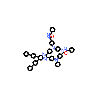 c1ccc(-c2ccc(-c3cc4nc(-c5ccc(N(c6ccccc6)c6ccc(-c7nnc(-c8ccccc8)o7)cc6)cc5)c(-c5ccc(N(c6ccccc6)c6ccc(-c7nnc(-c8ccccc8)o7)cc6)cc5)nc4cc3-c3ccc(-c4ccccc4)cc3)cc2)cc1